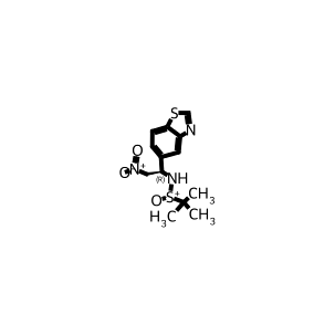 CC(C)(C)[S+]([O-])N[C@@H](C[N+](=O)[O-])c1ccc2scnc2c1